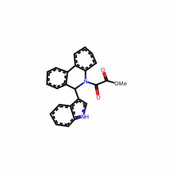 COC(=O)C(=O)N1c2ccccc2-c2ccccc2C1c1c[nH]c2ccccc12